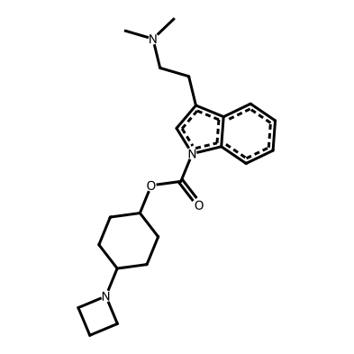 CN(C)CCc1cn(C(=O)OC2CCC(N3CCC3)CC2)c2ccccc12